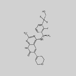 Cc1nc(N[C@H](C)c2cccc(C(F)(F)CO)c2F)c2cc(C3=CCOCC3)c(=O)[nH]c2n1